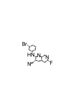 N#Cc1cc2cc(F)ncc2nc1Nc1cccc(Br)c1